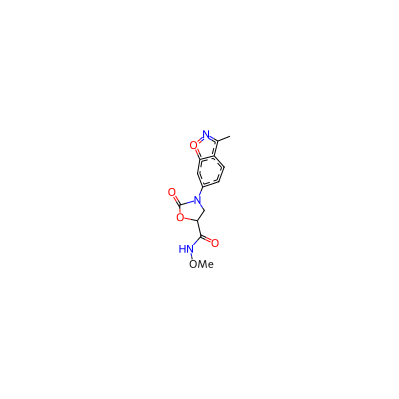 CONC(=O)C1CN(c2ccc3c(C)noc3c2)C(=O)O1